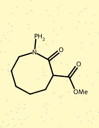 COC(=O)C1CCCCCN(P)C1=O